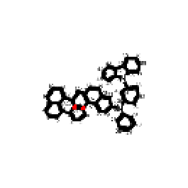 c1ccc(-c2cccc3cccc(-c4ccc5c(ccc6cc(N(c7ccccc7)c7cccc(-n8c9ccccc9c9ccccc98)c7)ccc65)c4)c23)cc1